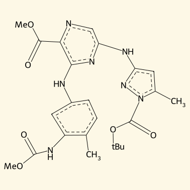 COC(=O)Nc1cc(Nc2nc(Nc3cc(C)n(C(=O)OC(C)(C)C)n3)cnc2C(=O)OC)ccc1C